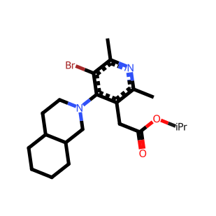 Cc1nc(C)c(CC(=O)OC(C)C)c(N2CCC3CCCCC3C2)c1Br